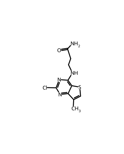 Cc1csc2c(NCCC(N)=O)nc(Cl)nc12